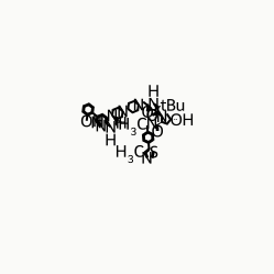 Cc1ncsc1-c1ccc([C@H](C)NC(=O)[C@@H]2C[C@@H](O)CN2C(=O)[C@@H](NC(=O)CN2CCC(N3CCN4c5cc(-c6ccccc6O)nnc5NC[C@H]4C3)CC2)C(C)(C)C)cc1